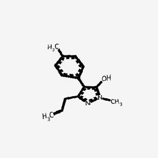 CCCc1nn(C)c(O)c1-c1ccc(C)cc1